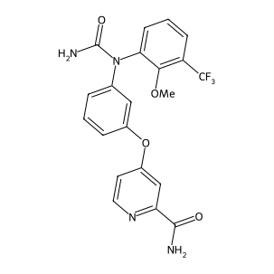 COc1c(N(C(N)=O)c2cccc(Oc3ccnc(C(N)=O)c3)c2)cccc1C(F)(F)F